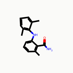 Cc1cccc(C)c1Nc1cccc(C)c1C(N)=O